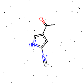 [C-]#[N+]c1cc(C(C)=O)c[nH]1